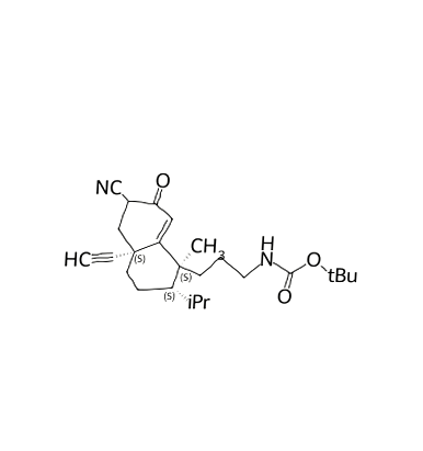 C#C[C@@]12CC[C@@H](C(C)C)[C@](C)(CCCNC(=O)OC(C)(C)C)C1=CC(=O)C(C#N)C2